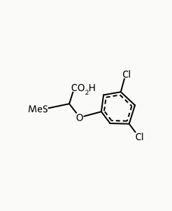 CSC(Oc1cc(Cl)cc(Cl)c1)C(=O)O